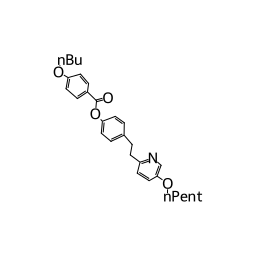 CCCCCOc1ccc(CCc2ccc(OC(=O)c3ccc(OCCCC)cc3)cc2)nc1